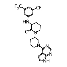 O=C1C(Nc2cc(C(F)(F)F)cc(C(F)(F)F)c2)CCCN1C1CCCN(c2ncnc3[nH]ccc23)C1